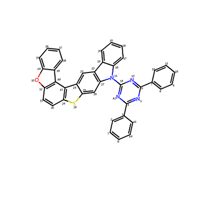 c1ccc(-c2nc(-c3ccccc3)nc(-n3c4ccccc4c4cc5c(cc43)sc3ccc4oc6ccccc6c4c35)n2)cc1